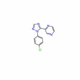 Clc1ccc(-n2ncnc2-c2cnccn2)cc1